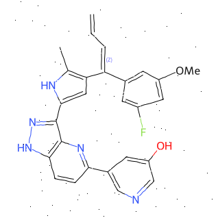 C=C/C=C(/c1cc(F)cc(OC)c1)c1cc(-c2n[nH]c3ccc(-c4cncc(O)c4)nc23)[nH]c1C